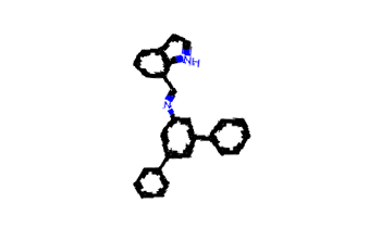 C(=N\c1cc(-c2ccccc2)cc(-c2ccccc2)c1)/c1cccc2cc[nH]c12